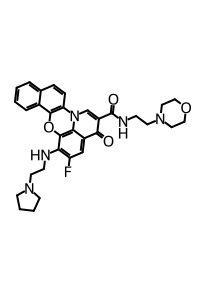 O=C(NCCN1CCOCC1)c1cn2c3c(c(NCCN4CCCC4)c(F)cc3c1=O)Oc1c-2ccc2ccccc12